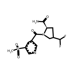 CS(=O)(=O)c1cncc(C(=O)N2CC(C(F)F)C[C@@H]2C(N)=O)c1